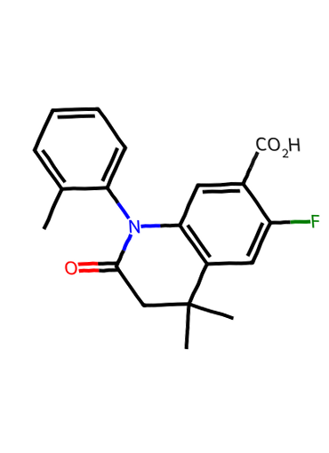 Cc1ccccc1N1C(=O)CC(C)(C)c2cc(F)c(C(=O)O)cc21